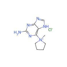 C[N+]1(c2nc(N)nc3nc[nH]c23)CCCC1.[Cl-]